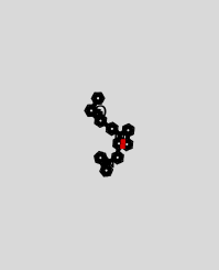 c1ccc(-c2ccccc2N(c2ccc(-c3cccc(-n4c5ccccc5c5ccccc54)c3)cc2)c2ccc(-c3ccc4c(c3)oc3c(-c5ccccc5)cccc34)cc2)cc1